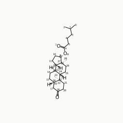 CC(C)CCCC(=O)O[C@H]1CC[C@H]2[C@@H]3CC[C@H]4CC(=O)CC[C@]4(C)[C@H]3CC[C@]12C